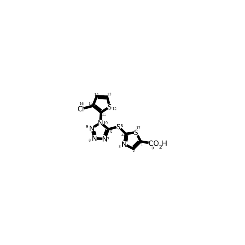 O=C(O)c1cnc(Sc2nnnn2-c2sccc2Cl)s1